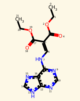 CCOC(=O)C(=CNc1ncnc2[nH]cnc12)C(=O)OCC